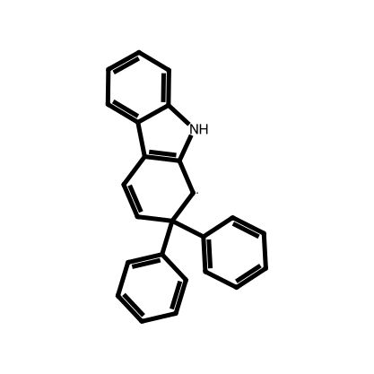 [CH]1c2[nH]c3ccccc3c2C=CC1(c1ccccc1)c1ccccc1